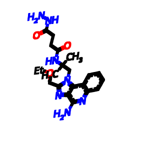 CCOCc1nc2c(N)nc3ccccc3c2n1CC(C)(C)NC(=O)CCC(=O)NN